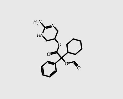 NC1=NCC(OC(=O)C(OC=O)(c2ccccc2)C2CCCCC2)CN1